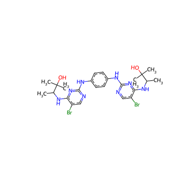 CC(Nc1nc(Nc2ccc(Nc3ncc(Br)c(NC(C)C(C)(C)O)n3)cc2)ncc1Br)C(C)(C)O